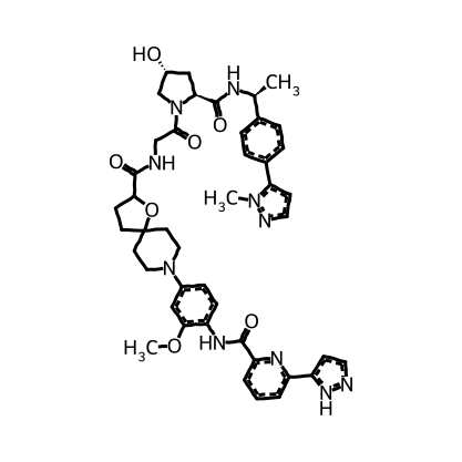 COc1cc(N2CCC3(CCC(C(=O)NCC(=O)N4C[C@H](O)C[C@H]4C(=O)N[C@@H](C)c4ccc(-c5ccnn5C)cc4)O3)CC2)ccc1NC(=O)c1cccc(-c2ccn[nH]2)n1